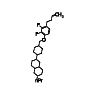 C=CCCc1ccc(OCC2CCC(C3CCC4CC(CCC)CCC4C3)CC2)c(F)c1F